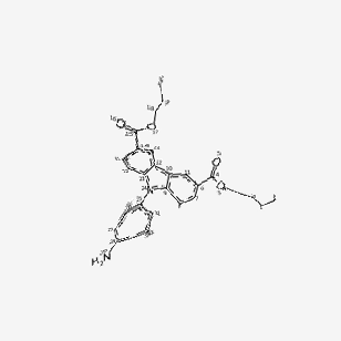 CCCOC(=O)c1ccc2c(c1)c1cc(C(=O)OCCC)ccc1n2-c1ccc(N)cc1